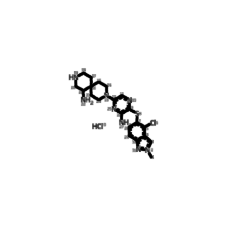 Cl.Cn1cc2c(Cl)c(Sc3ncc(N4CCC5(CCNCC5N)CC4)nc3N)ccc2n1